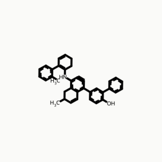 Cc1ccccc1C1=C(Nc2c#cc(-c3ccc(O)c(-c4ccccc4)c3)c3c2CC(C)C=C3)CCC=C1